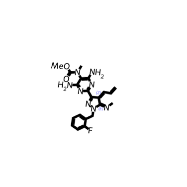 C=C/C=C1/C(c2nc(N)c(N(C)C(=O)OC)c(N)n2)=NN(Cc2ccccc2F)/C1=N/C